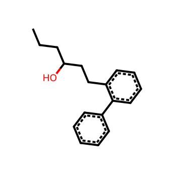 CCCC(O)CCc1ccccc1-c1ccccc1